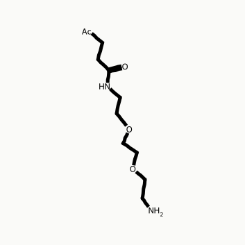 CC(=O)CCC(=O)NCCOCCOCCN